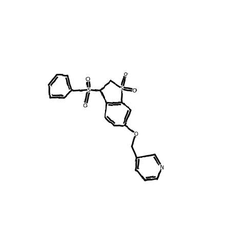 O=S1(=O)CC(S(=O)(=O)c2ccccc2)c2ccc(OCc3cccnc3)cc21